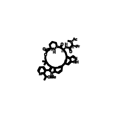 CCn1c(-c2cccnc2[C@H](C)OC)c2c3cc(ccc31)-c1cc(c3cn[nH]c3c1)C[C@H](NC(=O)[C@H](C(C)C)N(C)C(C)=O)C(=O)N1CCC[C@@](O)(N1)C(=O)OCC(C)(C)C2